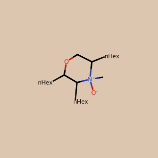 CCCCCCC1OCC(CCCCCC)[N+](C)([O-])C1CCCCCC